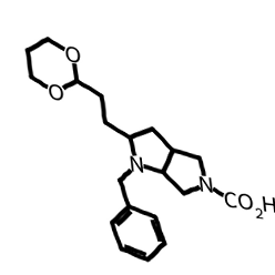 O=C(O)N1CC2CC(CCC3OCCCO3)N(Cc3ccccc3)C2C1